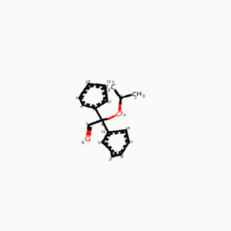 CC(C)OC(C=O)(c1ccccc1)c1ccccc1